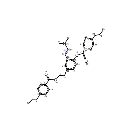 CCCc1ccc(C(=O)OCCc2ccc(OC(=O)c3ccc(CCC)cc3)c(/C=N/N(C)C)c2)cc1